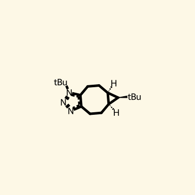 CC(C)(C)[C@@H]1[C@@H]2CCc3c(nnn3C(C)(C)C)CC[C@@H]21